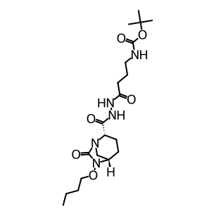 CCCCON1C(=O)N2C[C@@H]1CC[C@H]2C(=O)NNC(=O)CCCNC(=O)OC(C)(C)C